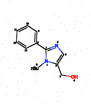 CCCCn1c(CO)cnc1-c1ccccc1